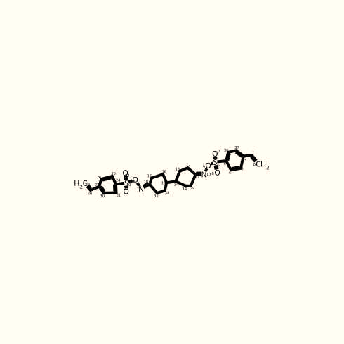 C=Cc1ccc(S(=O)(=O)ON=C2CCC(C3CCC(=NOS(=O)(=O)c4ccc(C=C)cc4)CC3)CC2)cc1